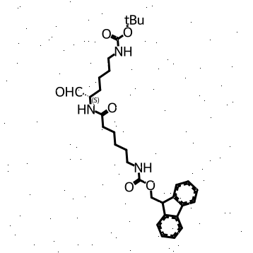 CC(C)(C)OC(=O)NCCCC[C@@H](C=O)NC(=O)CCCCCNC(=O)OCC1c2ccccc2-c2ccccc21